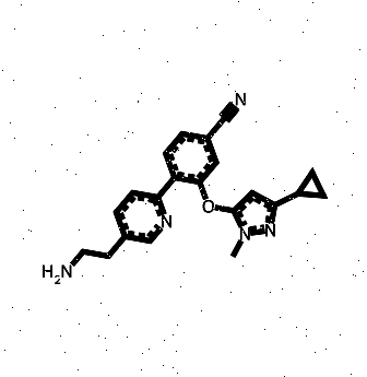 Cn1nc(C2CC2)cc1Oc1cc(C#N)ccc1-c1ccc(CCN)cn1